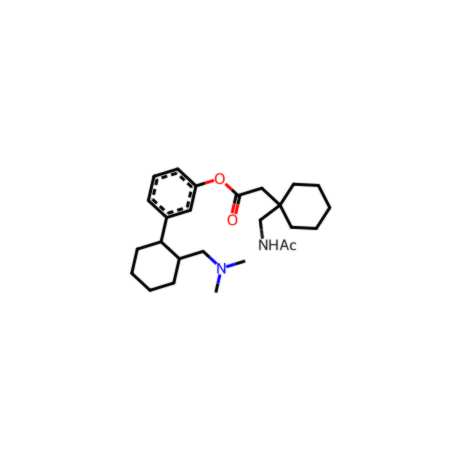 CC(=O)NCC1(CC(=O)Oc2cccc(C3CCCCC3CN(C)C)c2)CCCCC1